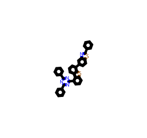 c1ccc(-c2nc(-c3ccccc3)nc(-c3cccc4sc5c(-c6ccc7sc(-c8ccccc8)nc7c6)cccc5c34)n2)cc1